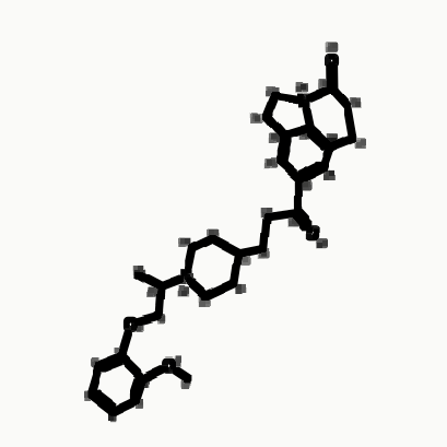 COc1ccccc1OCC(C)N1CCC(CCC(=O)c2cc3c4c(c2)CCN4C(=O)CC3)CC1